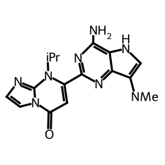 CNc1c[nH]c2c(N)nc(-c3cc(=O)n4ccnc4n3C(C)C)nc12